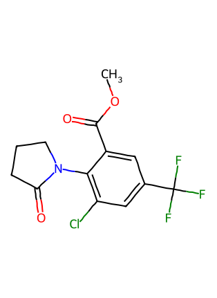 COC(=O)c1cc(C(F)(F)F)cc(Cl)c1N1CCCC1=O